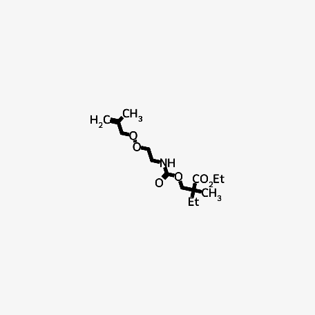 C=C(C)COOCCNC(=O)OCC(C)(CC)C(=O)OCC